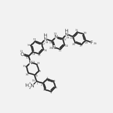 N[C@H](c1ccccc1)C1CCN(C(=O)c2ccc(Nc3nccc(Nc4ccc(F)cc4)n3)cc2)CC1